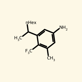 CCCCCCC(C)c1cc(N)cc(C)c1C(F)(F)F